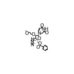 COCCO[C@@H]1C(N=[N+]=[N-])[C@@H](COC(=O)c2ccccc2)O[C@H]1N1C=CC(=O)NC(=O)C1